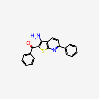 Nc1c(C(=O)c2ccccc2)sc2nc(-c3ccccc3)ccc12